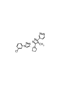 Cn1c(-c2ccnnc2)nnc1N1CCC[C@@H]1c1cn(-c2cccc(Cl)c2)nn1